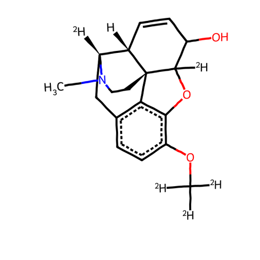 [2H]C([2H])([2H])Oc1ccc2c3c1OC1([2H])C(O)C=C[C@H]4[C@@]([2H])(C2)N(C)CC[C@@]341